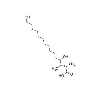 CC(C(=O)O)=C(C)C(O)CCCCCCCCCCCO